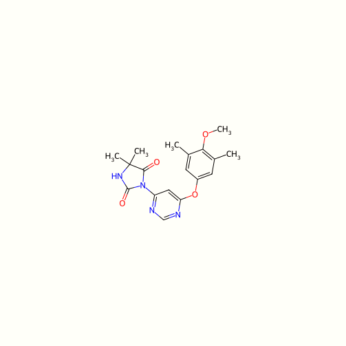 COc1c(C)cc(Oc2cc(N3C(=O)NC(C)(C)C3=O)ncn2)cc1C